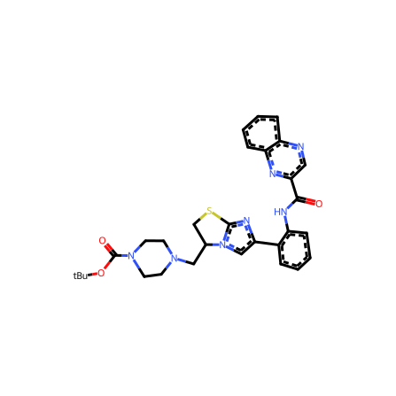 CC(C)(C)OC(=O)N1CCN(CC2CSc3nc(-c4ccccc4NC(=O)c4cnc5ccccc5n4)cn32)CC1